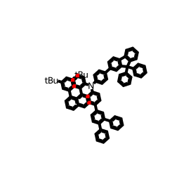 CC(C)(C)c1cc(-c2cccc3cccc(-c4ccccc4N(c4ccc(-c5ccc(-c6ccccc6)c(-c6ccccc6)c5)cc4)c4ccc(-c5ccc6c(c5)C(c5ccccc5)(c5ccccc5)c5ccccc5-6)cc4)c23)cc(C(C)(C)C)c1